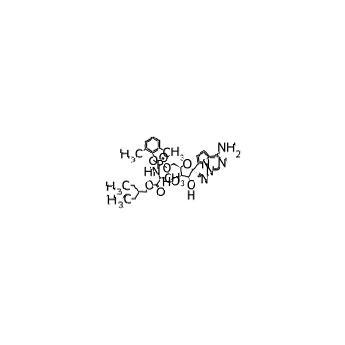 CCC(CC)COC(=O)[C@H](C)NP(=O)(OC[C@H]1O[C@@](C#N)(c2ccc3c(N)ncnn23)[C@H](O)[C@@H]1O)Oc1c(C)cccc1C